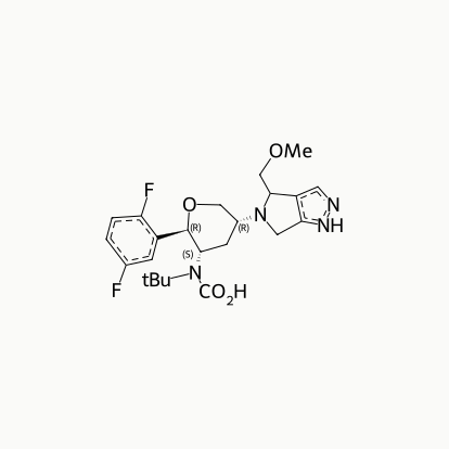 COCC1c2cn[nH]c2CN1[C@H]1CO[C@H](c2cc(F)ccc2F)[C@@H](N(C(=O)O)C(C)(C)C)C1